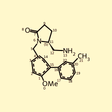 COc1ccc(CN2C(=O)CC[C@H]2CN)cc1-c1cccc(C)c1